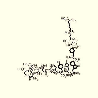 CC(C)C[C@H](N)C(=O)O.CC(C)[C@H](N)C(=O)O.CC[C@H](C)[C@H](N)C(=O)O.CSCC[C@H](N)C(=O)O.CSCC[C@H](N)C(=O)O.C[C@@H](O)[C@H](N)C(=O)O.N=C(N)NCCC[C@H](N)C(=O)O.NCCCC[C@H](N)C(=O)O.N[C@@H](CS)C(=O)O.N[C@@H](Cc1c[nH]c2ccccc12)C(=O)O.N[C@@H](Cc1c[nH]cn1)C(=O)O.N[C@@H](Cc1ccc(O)cc1)C(=O)O.N[C@@H](Cc1ccccc1)C(=O)O